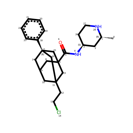 C[C@@H]1C[C@@H](NC(=O)C23CC4CC(CCCl)(C2)C[C@](c2ccccc2)(C4)C3)CCN1